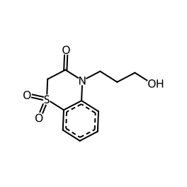 O=C1CS(=O)(=O)c2ccccc2N1CCCO